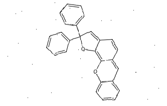 C1=c2ccc3c(c2Oc2ccccc21)OC(c1ccccc1)(c1ccccc1)C=3